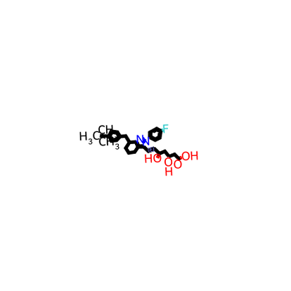 CC(C)(C)c1ccc(CC2CCCc3c2nn(-c2ccc(F)cc2)c3/C=C/C(O)CC(O)CC(=O)O)cc1